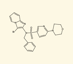 O=S(=O)(c1ccc(N2CCOCC2)nc1)N(Cc1ccccc1)c1nc2ccccn2c1Br